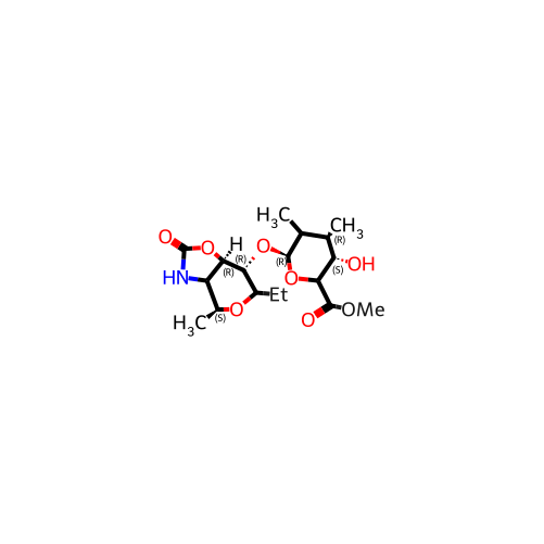 CCC1O[C@@H](C)C2NC(=O)O[C@H]2[C@@H]1O[C@@H]1OC(C(=O)OC)[C@@H](O)[C@H](C)C1C